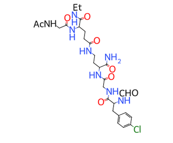 CCNC(=O)C(CCC(=O)NCCC(NC(=O)CNC(=O)C(Cc1ccc(Cl)cc1)NC=O)C(N)=O)NC(=O)CNC(C)=O